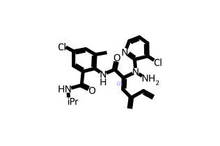 C=CC(=C)/C=C(/C(=O)Nc1c(C)cc(Cl)cc1C(=O)NC(C)C)N(N)c1ncccc1Cl